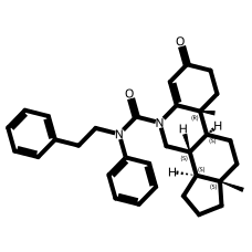 C[C@@]12CCC[C@H]1[C@@H]1CN(C(=O)N(CCc3ccccc3)c3ccccc3)C3=CC(=O)CC[C@]3(C)[C@H]1CC2